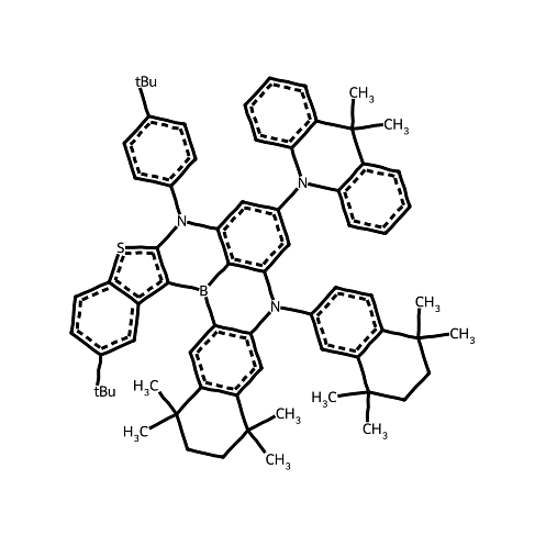 CC(C)(C)c1ccc(N2c3cc(N4c5ccccc5C(C)(C)c5ccccc54)cc4c3B(c3cc5c(cc3N4c3ccc4c(c3)C(C)(C)CCC4(C)C)C(C)(C)CCC5(C)C)c3c2sc2ccc(C(C)(C)C)cc32)cc1